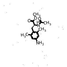 COC(=O)[C@H](Cc1c(C)cc(N)cc1C)NC(C)=O